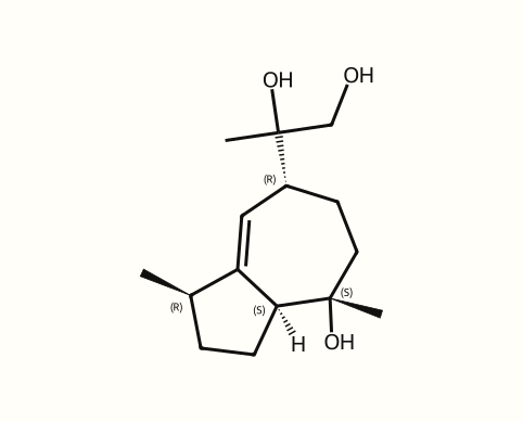 C[C@@H]1CC[C@H]2C1=C[C@H](C(C)(O)CO)CC[C@]2(C)O